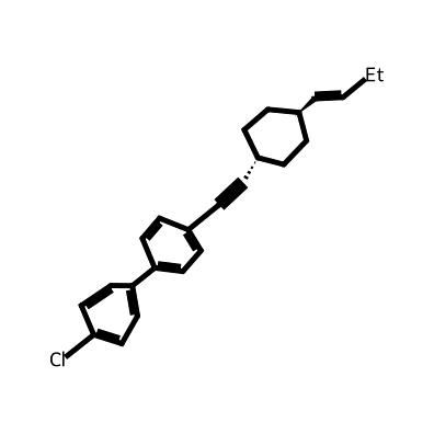 CCC=C[C@H]1CC[C@H](C#Cc2ccc(-c3ccc(Cl)cc3)cc2)CC1